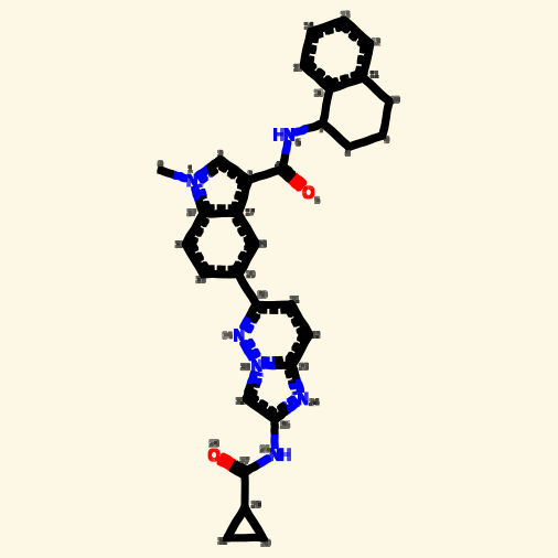 Cn1cc(C(=O)NC2CCCc3ccccc32)c2cc(-c3ccc4nc(NC(=O)C5CC5)cn4n3)ccc21